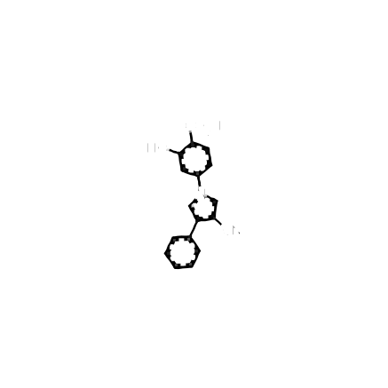 N#Cc1cn(-c2ccc(C(=O)O)c(O)c2)cc1-c1ccccc1